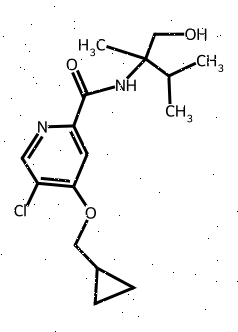 CC(C)C(C)(CO)NC(=O)c1cc(OCC2CC2)c(Cl)cn1